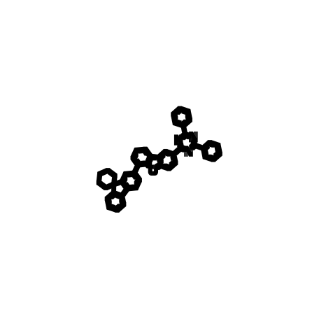 c1ccc(-c2nc(-c3ccccc3)nc(-c3ccc4oc5c(-c6ccc7c(c6)C6(CCCCC6)c6ccccc6-7)cccc5c4c3)n2)cc1